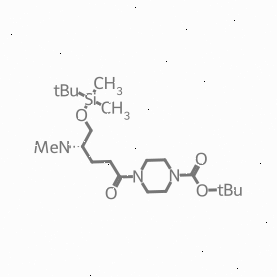 CN[C@@H](CCC(=O)N1CCN(C(=O)OC(C)(C)C)CC1)CO[Si](C)(C)C(C)(C)C